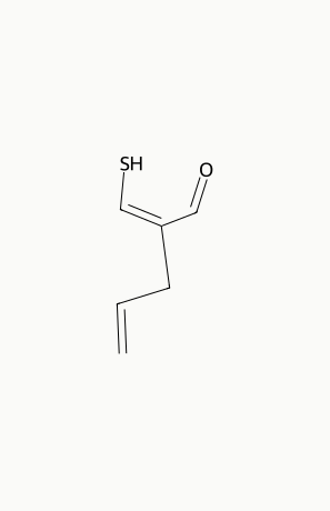 C=CCC(C=O)=CS